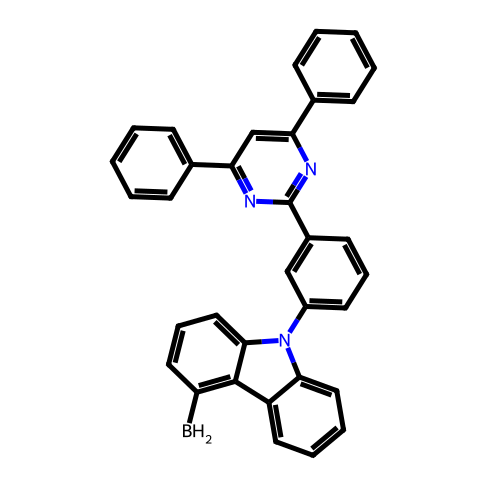 Bc1cccc2c1c1ccccc1n2-c1cccc(-c2nc(-c3ccccc3)cc(-c3ccccc3)n2)c1